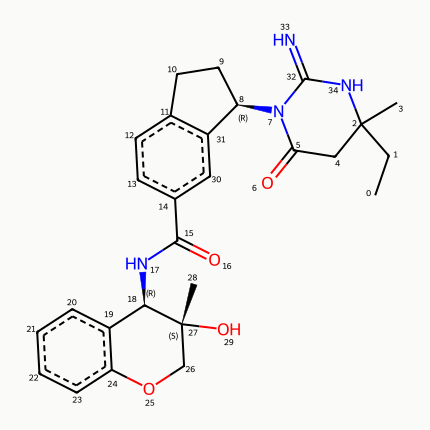 CCC1(C)CC(=O)N([C@@H]2CCc3ccc(C(=O)N[C@@H]4c5ccccc5OC[C@@]4(C)O)cc32)C(=N)N1